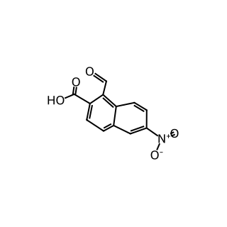 O=Cc1c(C(=O)O)ccc2cc([N+](=O)[O-])ccc12